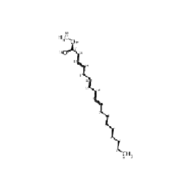 CCCCCCCCC=CCC=CCC=CCC(=O)OC